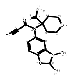 C#CC(=O)N(c1ccc2c(c1)N(C)C(O)O2)C1(C(N)=O)CCOCC1